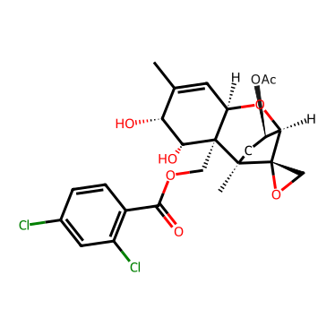 CC(=O)O[C@@H]1C[C@]2(C)[C@@]3(COC(=O)c4ccc(Cl)cc4Cl)[C@H](O)[C@H](O)C(C)=C[C@H]3O[C@H]1[C@@]21CO1